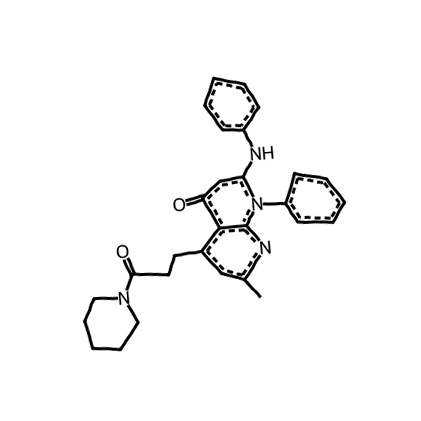 Cc1cc(CCC(=O)N2CCCCC2)c2c(=O)cc(Nc3ccccc3)n(-c3ccccc3)c2n1